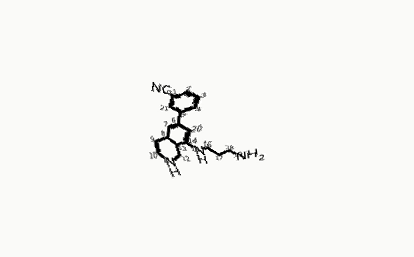 N#Cc1cccc(C2=CC3C=CNCC3C(NCCCN)=C2)c1